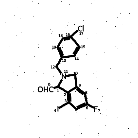 O=CC1c2c(I)cc(F)cc2CN1Cc1ccc(Cl)cc1